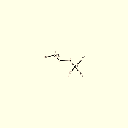 O[SiH2]CCC(F)(F)F